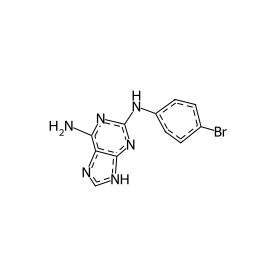 Nc1nc(Nc2ccc(Br)cc2)nc2[nH]cnc12